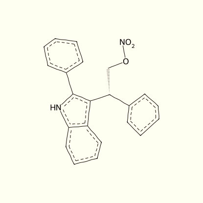 O=[N+]([O-])OC[C@H](c1ccccc1)c1c(-c2ccccc2)[nH]c2ccccc12